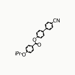 CC(C)Oc1ccc(C(=O)Oc2ccc(-c3ccc(C#N)cc3)cc2)cc1